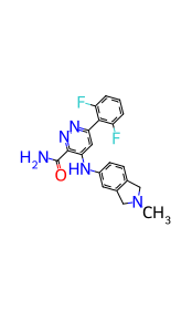 CN1Cc2ccc(Nc3cc(-c4c(F)cccc4F)nnc3C(N)=O)cc2C1